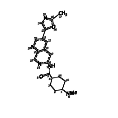 CNC1CCC(C(=O)Nc2cc3cc(-c4cnc(C)o4)cnc3cn2)CC1